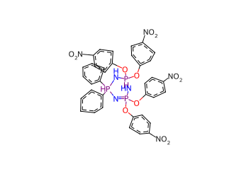 O=[N+]([O-])c1ccc(OP2(Oc3ccc([N+](=O)[O-])cc3)=N[PH](c3ccccc3)(c3ccccc3)N[PH](Oc3ccc([N+](=O)[O-])cc3)(Oc3ccc([N+](=O)[O-])cc3)N2)cc1